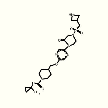 CC1(OC(=O)N2CCC(COc3cnc(N4CCN(S(=O)(=O)CC5CNC5)CC4=O)cn3)CC2)CC1